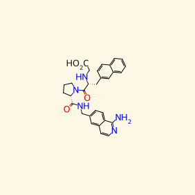 Nc1nccc2cc(CNC(=O)[C@@H]3CCCN3C(=O)[C@@H](Cc3ccc4ccccc4c3)NCC(=O)O)ccc12